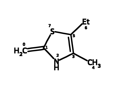 C=C1NC(C)=C(CC)S1